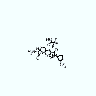 N[C@@H]1C(=O)N2C(C(=O)O)=C(C=C3CCN(c4cccc(C(F)(F)F)c4)C3=O)CS[C@H]12.O=C(O)C(F)(F)F